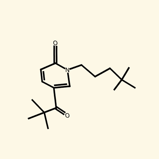 CC(C)(C)CCCn1cc(C(=O)C(C)(C)C)ccc1=O